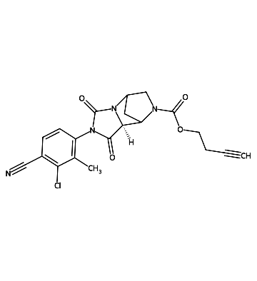 C#CCCOC(=O)N1CC2CC1[C@H]1C(=O)N(c3ccc(C#N)c(Cl)c3C)C(=O)N21